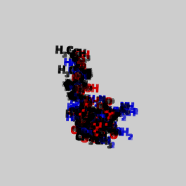 CC(C)C[C@H](NC(=O)[C@H](C)NC(=O)[C@@H]1CCCN1C(=O)[C@H](CC(=O)O)NC(=O)[C@@H]1CCCN1C(=O)[C@@H]1CCCN1C(=O)[C@H](CO)NC(=O)[C@H](CC(C)C)NC(=O)CNC(=O)CNC(=O)[C@H](C)NC(=O)[C@H](CC(C)C)NC(=O)[C@@H]1CCCN1C(=O)[C@H](CCC(N)=O)NC(=O)[C@H](CCCNC(=N)N)NC(=O)[C@H](CCC(N)=O)NC(=O)[C@H](CCC(N)=O)NC(=O)[C@H](CCC(N)=O)NC(=O)[C@H](CCC(N)=O)NC(=O)[C@@H](N)CCC(N)=O)C(=O)O